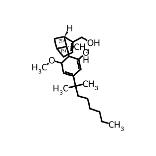 CCCCCCC(C)(C)C1=CC(OC)C([C@@]2(C)C3CC=C(CO)[C@H]2C3)C(O)=C1